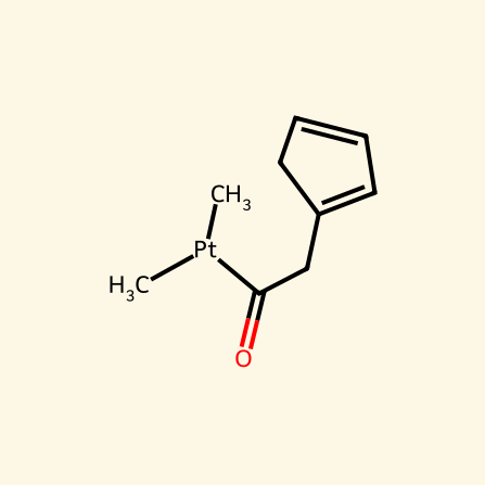 [CH3][Pt]([CH3])[C](=O)CC1=CC=CC1